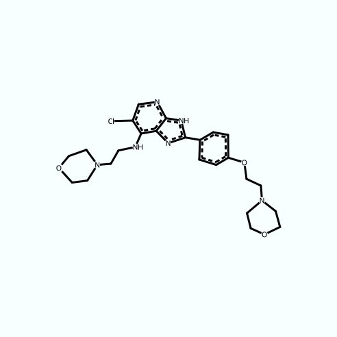 Clc1cnc2[nH]c(-c3ccc(OCCN4CCOCC4)cc3)nc2c1NCCN1CCOCC1